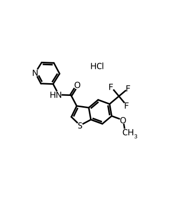 COc1cc2scc(C(=O)Nc3cccnc3)c2cc1C(F)(F)F.Cl